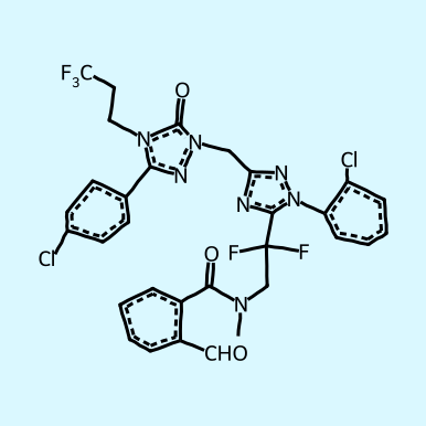 CN(CC(F)(F)c1nc(Cn2nc(-c3ccc(Cl)cc3)n(CCC(F)(F)F)c2=O)nn1-c1ccccc1Cl)C(=O)c1ccccc1C=O